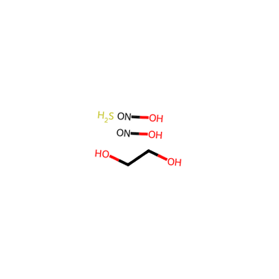 O=NO.O=NO.OCCO.S